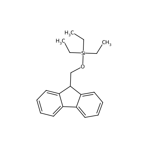 CC[Si](CC)(CC)OCC1c2ccccc2-c2ccccc21